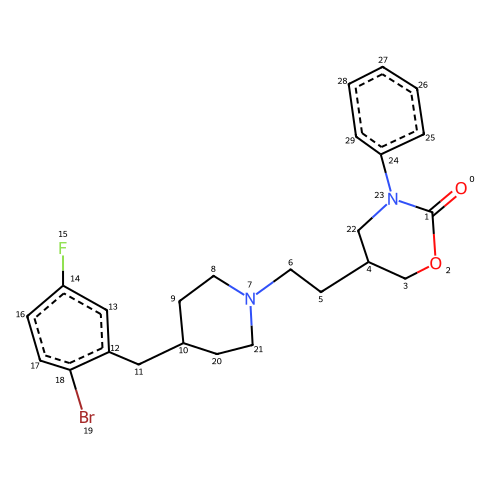 O=C1OCC(CCN2CCC(Cc3cc(F)ccc3Br)CC2)CN1c1ccccc1